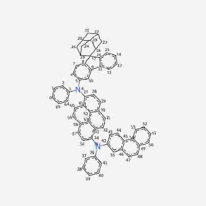 c1ccc(N(c2ccc3c(c2)-c2ccccc2C32C3CC4CC(C3)CC2C4)c2ccc3ccc4c(N(c5ccccc5)c5ccc6c(ccc7ccccc76)c5)ccc5ccc2c3c54)cc1